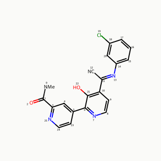 CNC(=O)c1cc(-c2nccc(/C(C#N)=N/c3cccc(Cl)c3)c2O)ccn1